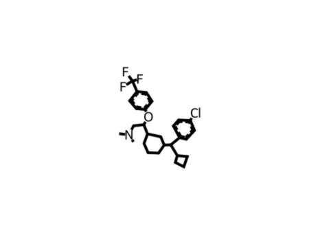 CN(C)CC(Oc1ccc(C(F)(F)F)cc1)C1CCCC(C(c2ccc(Cl)cc2)C2CCC2)C1